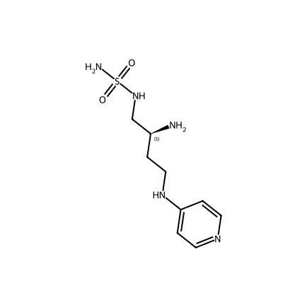 N[C@@H](CCNc1ccncc1)CNS(N)(=O)=O